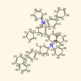 CC1C=C(N(c2cccc(-c3cc(-c4ccccc4)cc4c3c3ccc(-c5ccccc5)cc3n4-c3ccccc3)c2)c2ccccc2-c2ccccc2)C=CC1c1ccc(-c2cccc3ccccc23)cc1